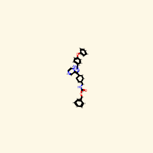 N[N+]12C=CN=CC1=C(C1CCC(CNC(=O)OCc3ccccc3)CC1)N=C2c1ccc(Oc2ccccc2)cc1